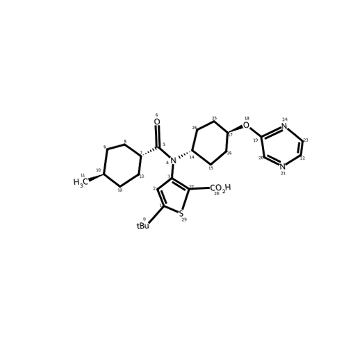 CC(C)(C)c1cc(N(C(=O)[C@H]2CC[C@H](C)CC2)[C@H]2CC[C@H](Oc3cnccn3)CC2)c(C(=O)O)s1